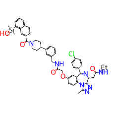 CCNC(=O)C[C@@H]1N=C(c2ccc(Cl)cc2)c2cc(OCC(=O)NCc3cccc(C4CCN(C(=O)c5ccc6cccc([Si](C)(C)O)c6c5)CC4)c3)ccc2-n2c(C)nnc21